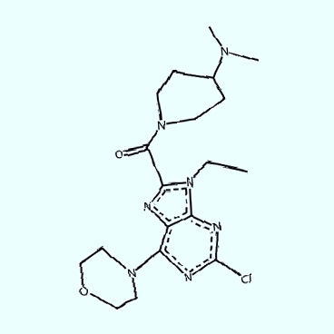 CCn1c(C(=O)N2CCC(N(C)C)CC2)nc2c(N3CCOCC3)nc(Cl)nc21